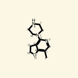 Cc1cnc(N2CCNCC2)c2c1OCC2